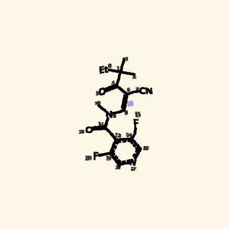 CCC(C)(C)C(=O)/C(C#N)=C\N(C)C(=O)c1c(F)cncc1F